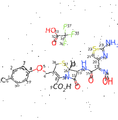 N#Cc1ccc(OCC2=C(C(=O)O)N3C(=O)C(NC(=O)/C(=N\O)c4csc(N)n4)[C@H]3SC2)cc1.O=C(O)C(F)(F)F